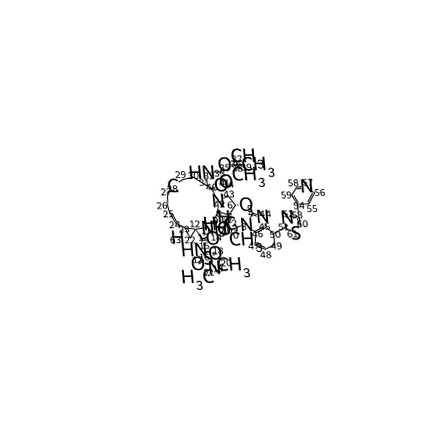 CC(C)n1c(O[C@@H]2C[C@H]3C(=O)N[C@]4(C(=O)NS(=O)(=O)N(C)C)C[C@H]4/C=C\CCCCC[C@H](NC(=O)OC(C)(C)C)C(=O)N3C2)nc2c1C=CCC2c1nc(-c2ccncc2)cs1